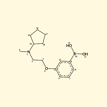 CN(CCOc1cccc(B(O)O)c1)C1CCCC1